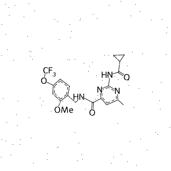 COc1cc(OC(F)(F)F)ccc1CNC(=O)c1cc(C)nc(NC(=O)C2CC2)n1